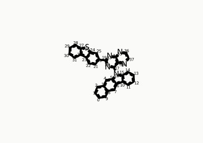 c1ccc2cc3c(cc2c1)c1ccccc1n3-c1nc(-c2ccc3c(c2)sc2ccccc23)nc2nccnc12